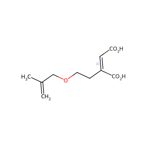 C=C(C)COCC/C(=C/C(=O)O)C(=O)O